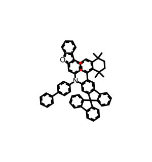 CC1(C)CCC(C)(C)c2c(-c3cc4c(cc3N(c3ccc(-c5ccccc5)cc3)c3ccc5c(c3)oc3ccccc35)C3(c5ccccc5-c5ccccc53)c3ccccc3-4)cccc21